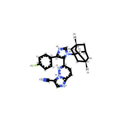 N#Cc1cnc2ccc(-c3c(-c4ccc(F)cc4)ncn3C34CC5C[C@H](C3)C[C@@H](C5)C4)nn12